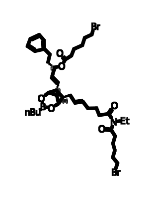 CCCCB1OC2CC(O1)[C@H](CC=CCCCC(=O)N(CC)C(=O)CCCCCBr)[C@H]2C=C[C@H](CCc1ccccc1)OC(=O)CCCCCBr